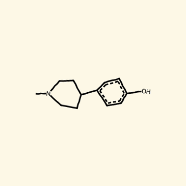 CN1CCC(c2ccc(O)cc2)CC1